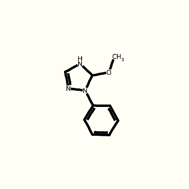 COC1NC=NN1c1ccccc1